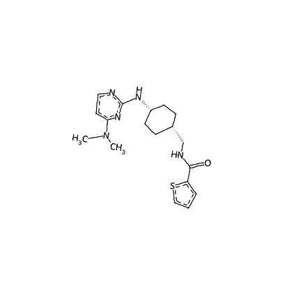 CN(C)c1ccnc(N[C@H]2CC[C@@H](CNC(=O)c3cccs3)CC2)n1